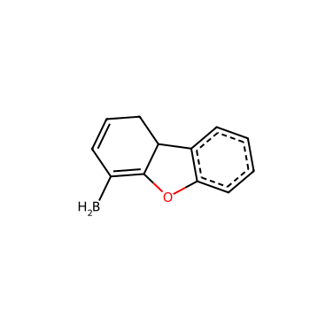 BC1=C2Oc3ccccc3C2CC=C1